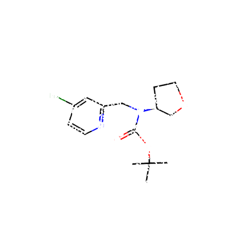 CC(C)(C)OC(=O)N(Cc1cc(Br)ccn1)[C@H]1CCOC1